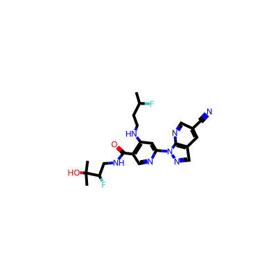 CC(F)CCNc1cc(-n2ncc3cc(C#N)cnc32)ncc1C(=O)NCC(F)C(C)(C)O